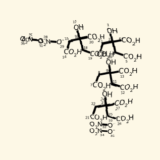 O=C(O)CC(O)(CC(=O)O)C(=O)O.O=C(O)CC(O)(CC(=O)O)C(=O)O.O=C(O)CC(O)(CC(=O)O)C(=O)O.O=C(O)CC(O)(CC(=O)O)C(=O)O.O=[N+]([O-])[O-].O=[N+]([O-])[O-].O=[N+]([O-])[O-].O=[N+]([O-])[O-].[Zr+4]